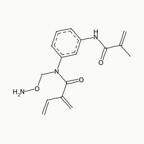 C=CC(=C)C(=O)N(CON)c1cccc(NC(=O)C(=C)C)c1